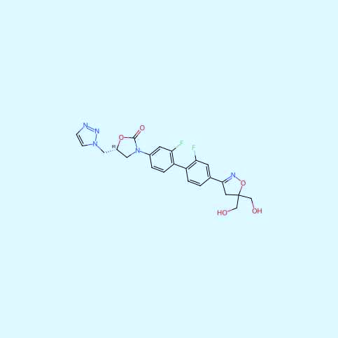 O=C1O[C@@H](Cn2ccnn2)CN1c1ccc(-c2ccc(C3=NOC(CO)(CO)C3)cc2F)c(F)c1